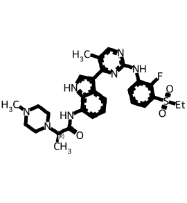 CCS(=O)(=O)c1cccc(Nc2ncc(C)c(-c3c[nH]c4c(NC(=O)[C@@H](C)N5CCN(C)CC5)cccc34)n2)c1F